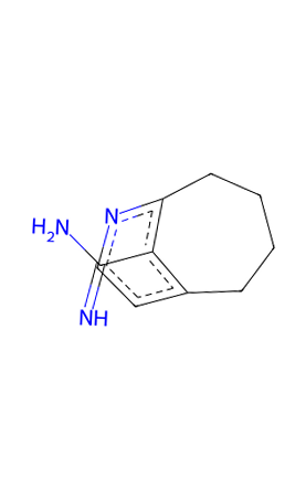 N=C(N)c1c2ccnc1CCCC2